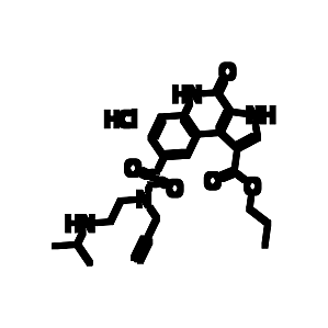 C#CCN(CCNC(C)C)S(=O)(=O)c1ccc2[nH]c(=O)c3[nH]cc(C(=O)OCCC)c3c2c1.Cl